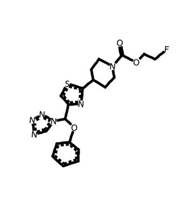 O=C(OCCF)N1CCC(c2nc(C(Oc3ccccc3)n3cnnn3)cs2)CC1